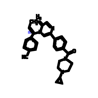 C=C1C=NC(c2ccc(C(=O)N3CCN(C4CC4)CC3)cc2)=CN1/C(=C\C)c1ccc(C#N)cc1